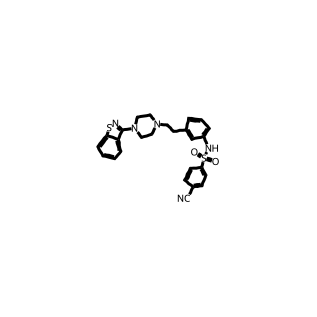 N#Cc1ccc(S(=O)(=O)Nc2cccc(CCN3CCN(c4nsc5ccccc45)CC3)c2)cc1